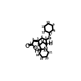 O=C1C=C2CC(SC3CCCCC3)[C@@H]3C[C@@]2(O1)[C@H]1CCCCN31